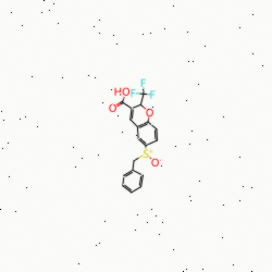 O=C(O)C1=Cc2cc([S+]([O-])Cc3ccccc3)ccc2OC1C(F)(F)F